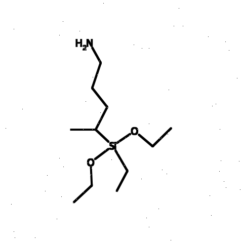 CCO[Si](CC)(OCC)C(C)CCCN